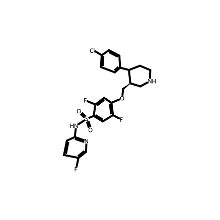 O=S(=O)(Nc1ccc(F)cn1)c1cc(F)c(OC[C@@H]2CNCCC2c2ccc(Cl)cc2)cc1F